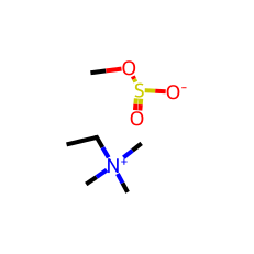 CC[N+](C)(C)C.COS(=O)[O-]